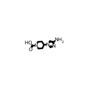 Nc1cn(C2CCN(C(=O)O)CC2)cn1